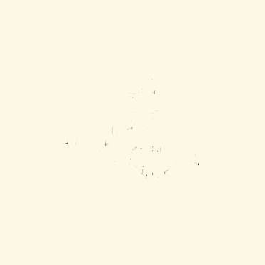 CCn1cc(-c2cccc(C(NC(=O)c3ccc(C(F)(F)F)cc3C)C3(O)CCC(F)(F)CC3)c2)cn1